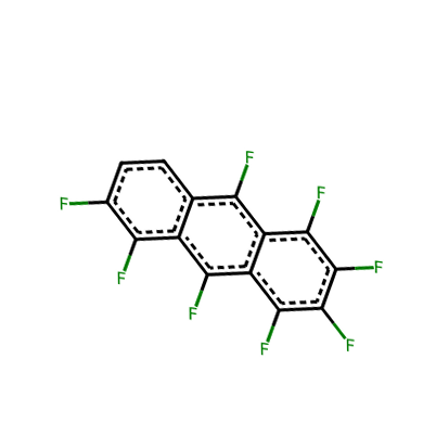 Fc1ccc2c(F)c3c(F)c(F)c(F)c(F)c3c(F)c2c1F